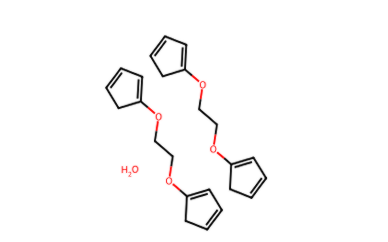 C1=CCC(OCCOC2=CC=CC2)=C1.C1=CCC(OCCOC2=CC=CC2)=C1.O